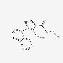 CCOC(=O)c1cnn(-c2cccc3ncccc23)c1CC